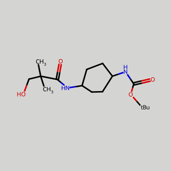 CC(C)(C)OC(=O)NC1CCC(NC(=O)C(C)(C)CO)CC1